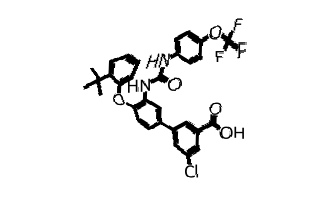 CC(C)(C)c1ccccc1Oc1ccc(-c2cc(Cl)cc(C(=O)O)c2)cc1NC(=O)Nc1ccc(OC(F)(F)F)cc1